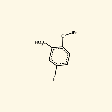 CC(C)Oc1ccc(F)cc1C(=O)O